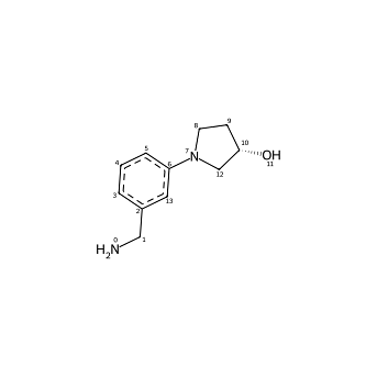 NCc1cccc(N2CC[C@H](O)C2)c1